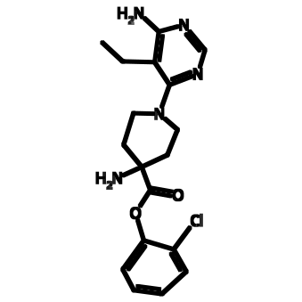 CCc1c(N)ncnc1N1CCC(N)(C(=O)Oc2ccccc2Cl)CC1